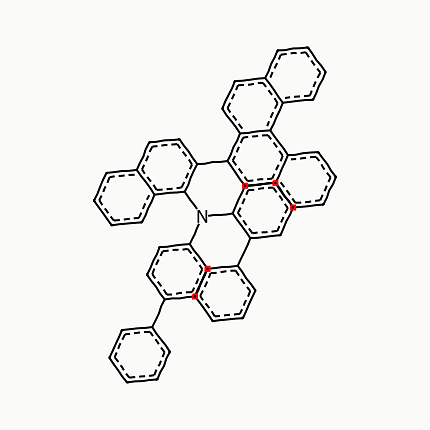 c1ccc(-c2ccc(N(c3ccccc3-c3ccccc3)c3c(-c4cc5ccccc5c5c4ccc4ccccc45)ccc4ccccc34)cc2)cc1